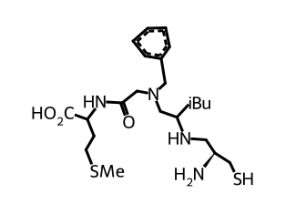 CCC(C)C(CN(CC(=O)NC(CCSC)C(=O)O)Cc1ccccc1)NC[C@H](N)CS